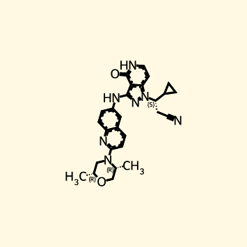 C[C@@H]1CN(c2ccc3cc(Nc4nn([C@@H](CC#N)C5CC5)c5cc[nH]c(=O)c45)ccc3n2)[C@H](C)CO1